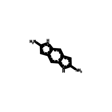 Nc1cc2cc3[nH]c(N)cc3cc2[nH]1